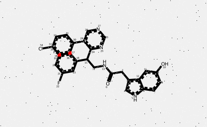 O=C(Cc1c[nH]c2ccc(O)cc12)NCC(c1cc(F)cc(F)c1)c1ncncc1-c1ccc(Cl)cc1